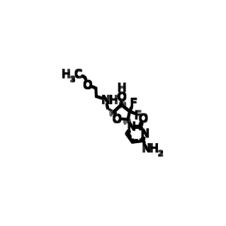 CCOCCNC[C@H]1O[C@@H](n2ccc(N)nc2=O)C(F)(F)[C@@H]1O